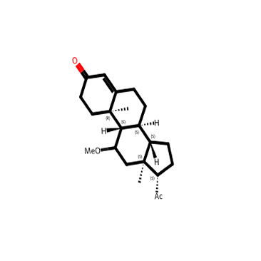 COC1C[C@]2(C)[C@@H](C(C)=O)CC[C@H]2[C@@H]2CCC3=CC(=O)CC[C@]3(C)[C@@H]12